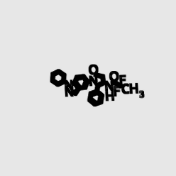 CC(F)(F)C(=O)N[C@H]1CC(=O)N(c2ccc3c(cnn3C3CCCCC3)c2)C1c1ccccc1